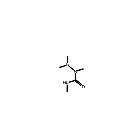 CNC(=O)N(C)N(C)C